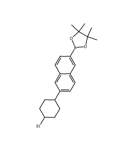 CCC1CCC(c2ccc3cc(B4OC(C)(C)C(C)(C)O4)ccc3c2)CC1